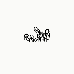 O=C(Cc1ccccn1)N[C@H]1C[C@H](Nc2cc(-n3c(C(F)F)nc4ccccc43)nc(N3CCOCC3)n2)C1